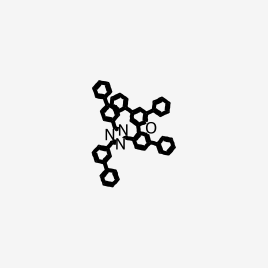 c1ccc(-c2ccc(-c3nc(-c4cccc(-c5ccccc5)c4)nc(-c4ccc(-c5ccccc5)c5oc6c(-c7ccccc7)cc(-c7ccccc7)cc6c45)n3)cc2)cc1